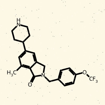 Cc1cc(C2CCNCC2)cc2c1C(=O)N(Cc1ccc(OC(F)(F)F)cc1)C2